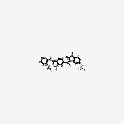 COc1ccc2c(c1)[C@]1(C[C@H]1c1ccc3c(Nc4nnccc4OC)n[nH]c3c1)C(=O)N2